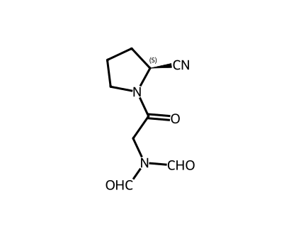 N#C[C@@H]1CCCN1C(=O)CN(C=O)C=O